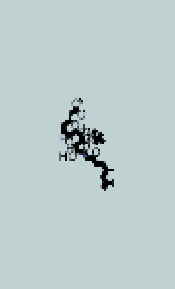 C=C(I)C[C@H](C)CCC(=O)/C=C1\O[C@H]2C(O[Si](C)(C)C(C)(C)C)[C@H]3O[C@@H](CC(=O)OC)CC[C@@H]3O[C@H]2[C@H]1O